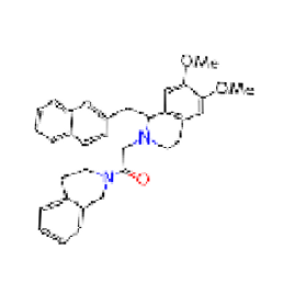 COc1cc2c(cc1OC)C(Cc1ccc3ccccc3c1)N(CC(=O)N1CCc3ccccc3C1)CC2